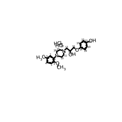 COc1ccc(C)cc1N1CCN(CC(O)COc2ccc(O)cc2)CC1.Cl.Cl